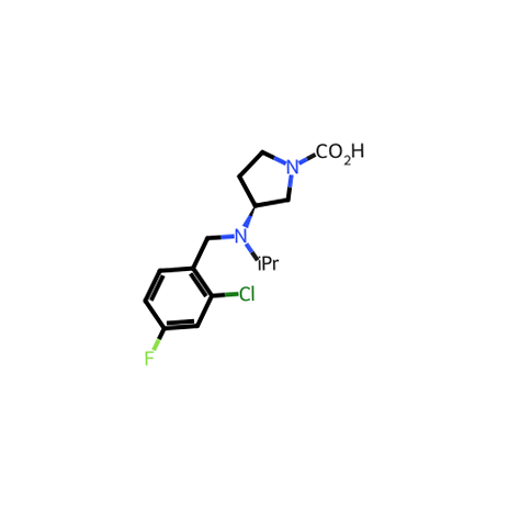 CC(C)N(Cc1ccc(F)cc1Cl)[C@H]1CCN(C(=O)O)C1